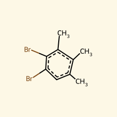 Cc1cc(Br)c(Br)c(C)c1C